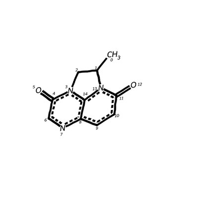 CC1Cn2c(=O)cnc3ccc(=O)n1c32